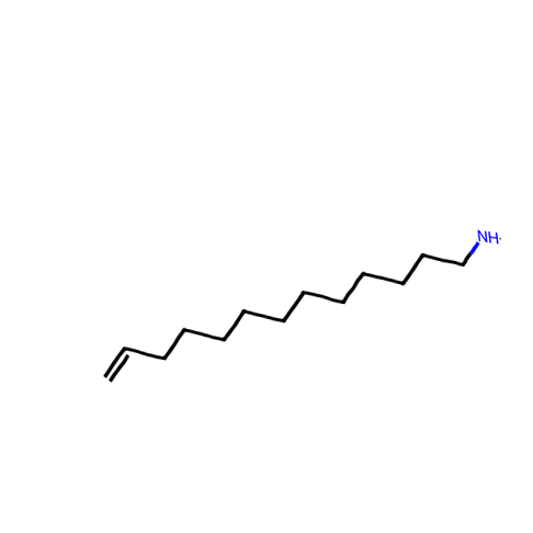 C=CCCCCCCCCCCC[NH]